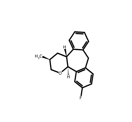 C[C@@H]1CO[C@@H]2c3cc(F)ccc3Cc3ccccc3[C@H]2C1